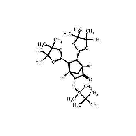 CC1(C)OB(C2[C@@H](B3OC(C)(C)C(C)(C)O3)[C@H]3C[C@@H]2[C@@H](O[Si](C)(C)C(C)(C)C)C3=O)OC1(C)C